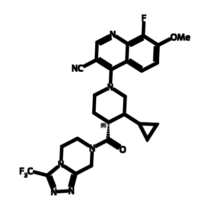 COc1ccc2c(N3CC[C@@H](C(=O)N4CCn5c(nnc5C(F)(F)F)C4)C(C4CC4)C3)c(C#N)cnc2c1F